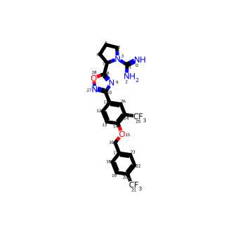 N=C(N)N1CCCC1c1nc(-c2ccc(OCc3ccc(C(F)(F)F)cc3)c(C(F)(F)F)c2)no1